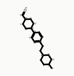 CC1CCC(CCc2ccc(C3CCC(C=O)CC3)cc2)CC1